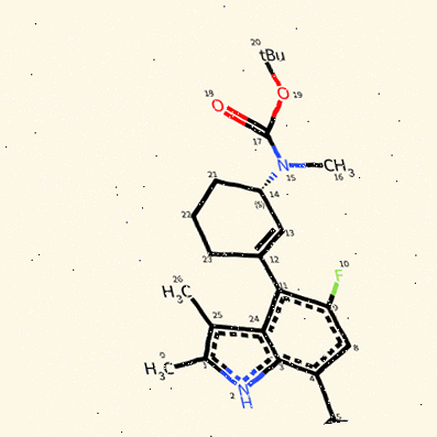 Cc1[nH]c2c(C(N)=O)cc(F)c(C3=C[C@@H](N(C)C(=O)OC(C)(C)C)CCC3)c2c1C